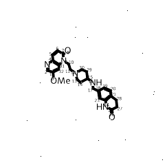 COc1cnc2ccc(=O)n(CCN3CCC(NCc4ccc5c(c4)NC(=O)CC5)CC3)c2c1